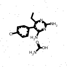 CCc1nc(N)nc(N)c1-c1ccc(Cl)cc1.NC(=O)O